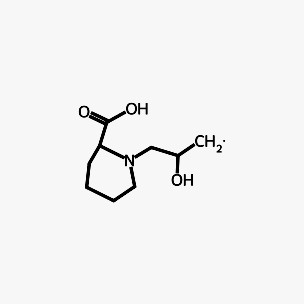 [CH2]C(O)CN1CCCCC1C(=O)O